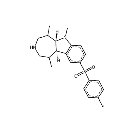 CC1CNCC(C)[C@H]2[C@H]1c1cc(S(=O)(=O)c3ccc(F)cc3)ccc1N2C